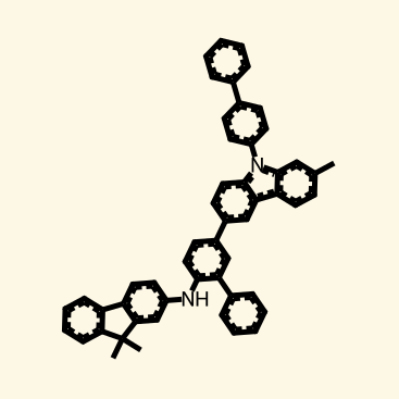 Cc1ccc2c3cc(-c4ccc(Nc5ccc6c(c5)C(C)(C)c5ccccc5-6)c(-c5ccccc5)c4)ccc3n(-c3ccc(-c4ccccc4)cc3)c2c1